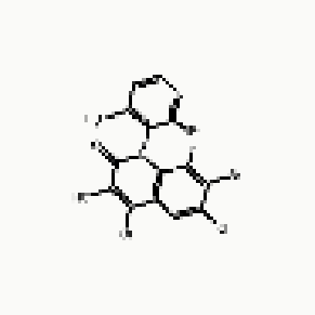 Cc1ccnc(C(C)C)c1-n1c(=O)c(C#N)c(O)c2cc(Cl)c(Br)c(F)c21